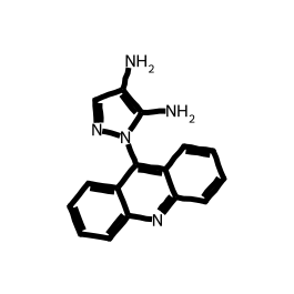 Nc1cnn(-c2c3ccccc3nc3ccccc23)c1N